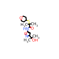 CC(C)(SC1CCOCC1)C(=O)Nc1cc(C(C)(C)O)no1